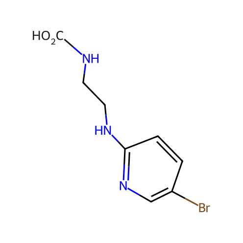 O=C(O)NCCNc1ccc(Br)cn1